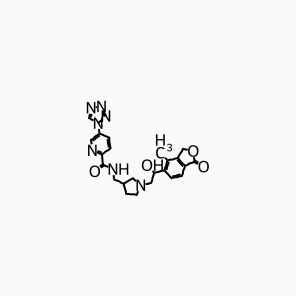 Cc1c(C(O)CN2CCC(CNC(=O)c3ccc(-n4cnnn4)cn3)C2)ccc2c1COC2=O